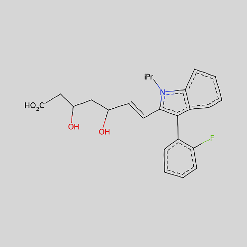 CC(C)n1c(C=CC(O)CC(O)CC(=O)O)c(-c2ccccc2F)c2ccccc21